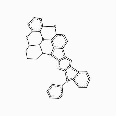 c1ccc(-n2c3ccccc3c3cc4c5ccc6c7c5n(c4cc32)C2CCCC3Sc4cccc(c4B7C32)S6)cc1